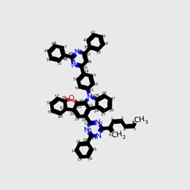 C=C(/C=C\C=C/C)c1nc(-c2ccccc2)nc(-c2cc3c(c4c2c2ccccc2n4-c2ccc(-c4cc(-c5ccccc5)nc(-c5ccccc5)n4)cc2)OC2C=CC=CC32)n1